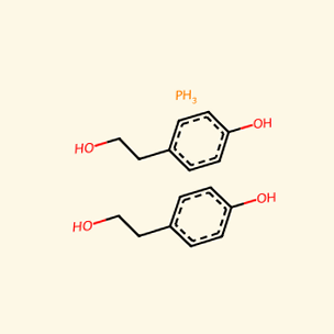 OCCc1ccc(O)cc1.OCCc1ccc(O)cc1.P